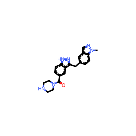 Cn1ncc2cc(Cc3n[nH]c4ccc(C(=O)N5CCNCC5)cc34)ccc21